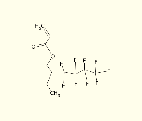 C=CC(=O)OCC(CC)C(F)(F)C(F)(F)C(F)(F)C(F)(F)F